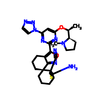 C[C@H](Oc1cc(-n2ccnn2)nc(-c2onc3c2CCC[C@@]32CCCc3sc(N)c(C#N)c32)n1)[C@@H]1CCCN1C